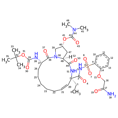 CC[C@]1(C(=O)NS(=O)(=O)c2ccccc2OCC(N)=O)/C=C\CCCCC[C@H](NC(=O)OC(C)(C)C)C(=O)N2C[C@H](OC(=O)N(C)C)C[C@H]2C(=O)N1